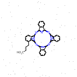 O=C(O)CCCc1cccc2c3nc4nc(nc5[nH]c(nc6nc(nc([nH]3)c12)-c1ccccc1-6)c1ccccc51)-c1ccccc1-4